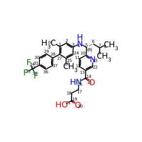 Cc1cc(N[C@H](CC(C)C)c2ccc(C(=O)NCCC(=O)O)cn2)cc(C)c1-c1ccc(C(F)(F)F)cc1